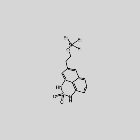 CC[Si](CC)(CC)OCCc1cc2c3c(cccc3c1)NS(=O)(=O)N2